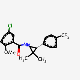 COc1ccc(Cl)cc1C(=O)N[C@H]1[C@H](c2ccc(C(F)(F)F)cc2)C1(C)C